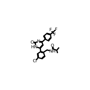 CC(C)C(=O)NCc1ccc(Cl)cc1-c1cc(-c2ccc(C(F)(F)F)cc2)nc(=O)[nH]1